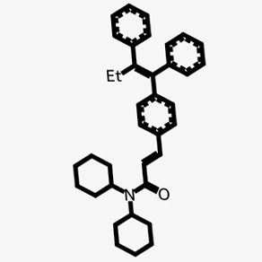 CCC(=C(c1ccccc1)c1ccc(C=CC(=O)N(C2CCCCC2)C2CCCCC2)cc1)c1ccccc1